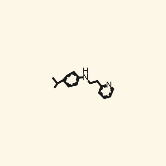 CC(C)c1ccc(NCCc2ccccn2)cc1